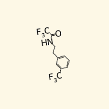 O=C(NCCc1cccc(C(F)(F)F)c1)C(F)(F)F